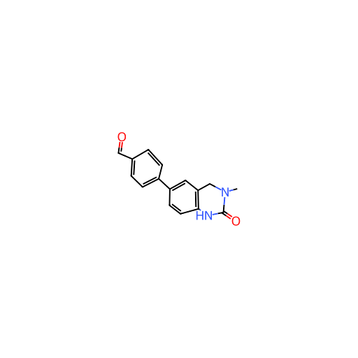 CN1Cc2cc(-c3ccc(C=O)cc3)ccc2NC1=O